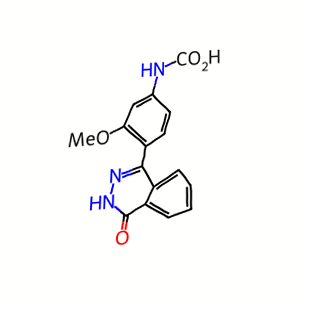 COc1cc(NC(=O)O)ccc1-c1n[nH]c(=O)c2ccccc12